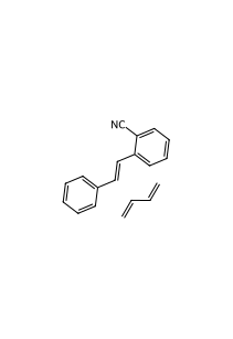 C=CC=C.N#Cc1ccccc1C=Cc1ccccc1